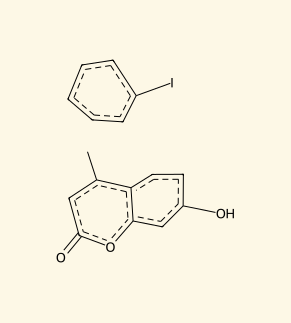 Cc1cc(=O)oc2cc(O)ccc12.Ic1ccccc1